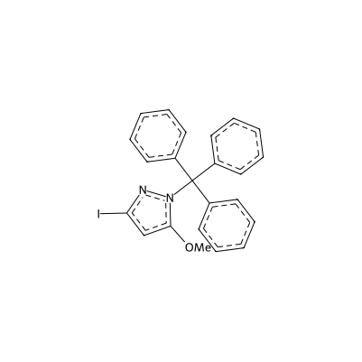 COc1cc(I)nn1C(c1ccccc1)(c1ccccc1)c1ccccc1